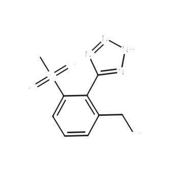 CC(C)Cc1cccc(S(C)(=O)=O)c1-c1nn[nH]n1